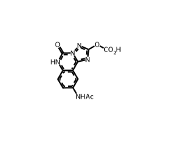 CC(=O)Nc1ccc2[nH]c(=O)n3nc(OC(=O)O)nc3c2c1